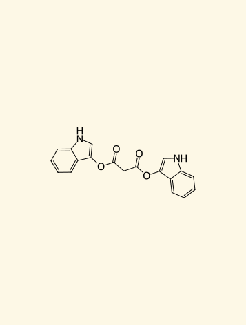 O=C(CC(=O)Oc1c[nH]c2ccccc12)Oc1c[nH]c2ccccc12